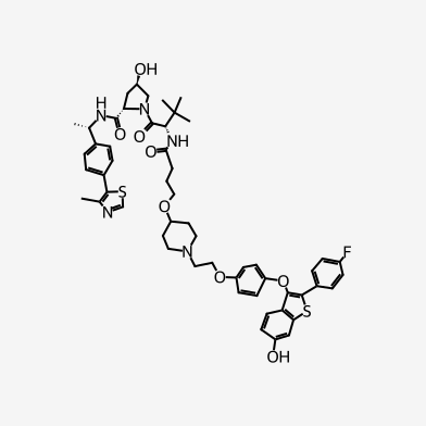 Cc1ncsc1-c1ccc([C@H](C)NC(=O)[C@@H]2C[C@@H](O)CN2C(=O)[C@@H](NC(=O)CCCOC2CCN(CCOc3ccc(Oc4c(-c5ccc(F)cc5)sc5cc(O)ccc45)cc3)CC2)C(C)(C)C)cc1